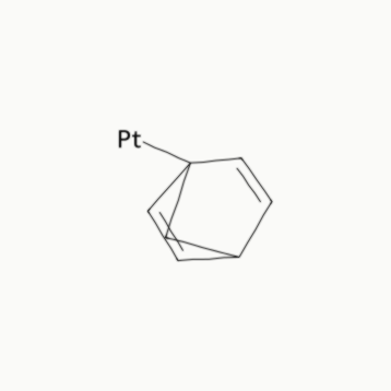 [Pt][C]12C=CC(C=C1)C2